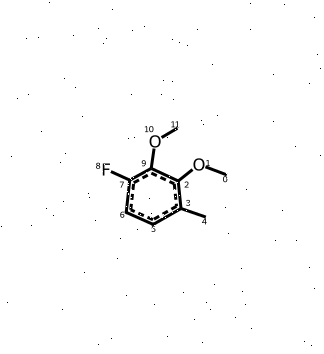 COc1c(C)ccc(F)c1OC